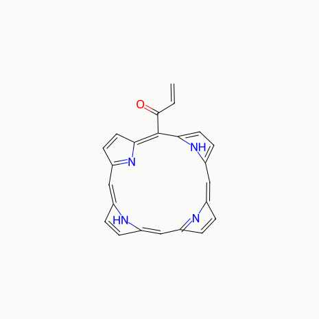 C=CC(=O)c1c2nc(cc3ccc(cc4nc(cc5ccc1[nH]5)C=C4)[nH]3)C=C2